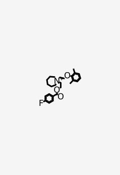 Cc1cccc(C)c1OCC[N+]1(CCOC(=O)c2ccc(F)cc2)CCCCCC1